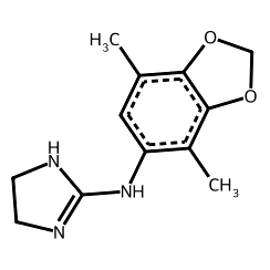 Cc1cc(NC2=NCCN2)c(C)c2c1OCO2